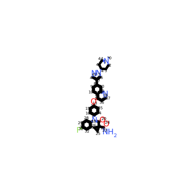 CN1CCC(n2cc(-c3ccc4c(Oc5ccc(N(C(=O)C6(C(N)=O)CC6)c6ccc(F)cc6)cc5)ccnc4c3)cn2)CC1